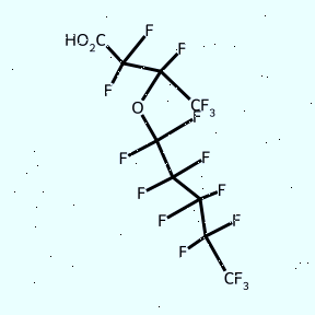 O=C(O)C(F)(F)C(F)(OC(F)(F)C(F)(F)C(F)(F)C(F)(F)C(F)(F)F)C(F)(F)F